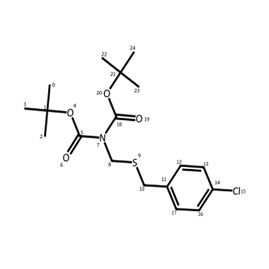 CC(C)(C)OC(=O)N(CSCc1ccc(Cl)cc1)C(=O)OC(C)(C)C